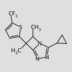 CC1n2c(C3CC3)nnc2C1(C)c1ccc(C(F)(F)F)s1